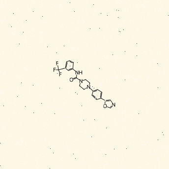 O=C(Nc1cccc(C(F)(F)F)c1)N1CCN(c2ccc(-c3cnco3)cc2)CC1